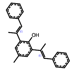 C/C(=C\c1ccccc1)c1cc(C)cc(/C(C)=C/c2ccccc2)c1O